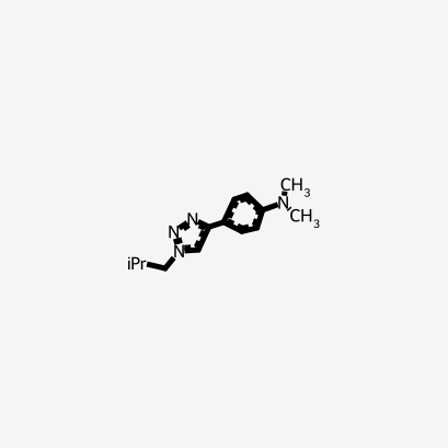 CC(C)Cn1cc(-c2ccc(N(C)C)cc2)nn1